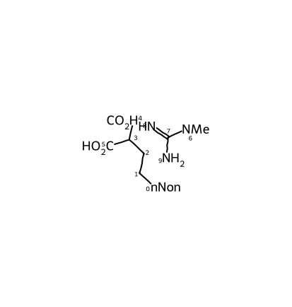 CCCCCCCCCCCC(C(=O)O)C(=O)O.CNC(=N)N